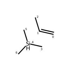 C=CC.C[SiH](C)C